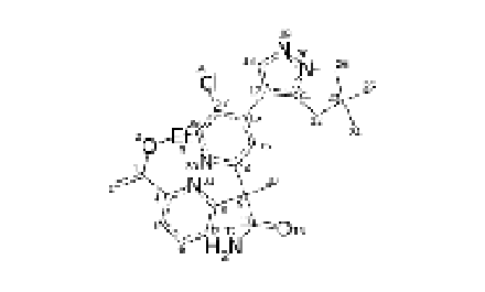 C=C(OCC)c1cccc(C(C)(C(N)=O)c2cc(-c3cnn4c3CC(C)(C)C4)c(Cl)cn2)n1